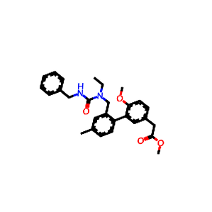 CCN(Cc1cc(C)ccc1-c1cc(CC(=O)OC)ccc1OC)C(=O)NCc1ccccc1